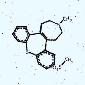 CN1CCC2=C(CC1)c1ccccc1Sc1ccccc12.CS(=O)(=O)O